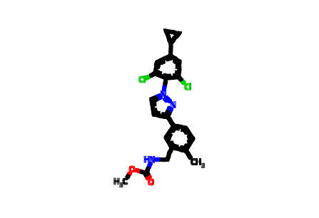 COC(=O)NCc1cc(-c2ccn(-c3c(Cl)cc(C4CC4)cc3Cl)n2)ccc1C